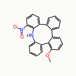 COc1cccc2c3ccccc3c3cccc([N+](=O)[O-])c3[nH]c3ccccc3c12